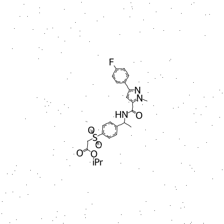 CC(C)OC(=O)CS(=O)(=O)c1ccc(C(C)NC(=O)c2cc(-c3ccc(F)cc3)nn2C)cc1